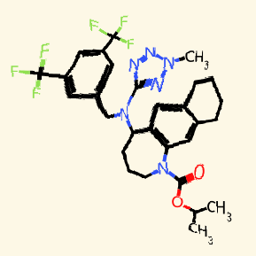 CC(C)OC(=O)N1CCCC(N(Cc2cc(C(F)(F)F)cc(C(F)(F)F)c2)c2nnn(C)n2)c2cc3c(cc21)CCCC3